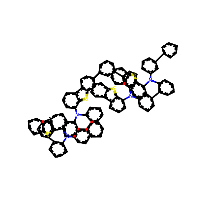 c1ccc(-c2cccc(N(c3ccccc3-c3cccc(N(c4cccc(-c5cccc(-c6ccc7c(c6)sc6c(N(c8ccccc8-c8ccccc8)c8ccccc8-c8cccc(N(c9ccccc9-c9ccccc9)c9cccc%10c9sc9ccccc9%10)c8)cccc67)c5)c4)c4cccc5c4sc4ccccc45)c3)c3cccc4c3sc3ccccc34)c2)cc1